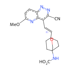 COc1ccc2nnc(C#N)c(/C=C/C34CCC(NC(=O)O)(CC3)CO4)c2n1